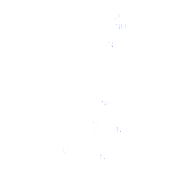 CCNC(=O)N1CCC(c2ccc(CC(NC(=O)[C@@H]3CCCCCN3OOC(C)(C)C)C(N)=O)cc2)CC1